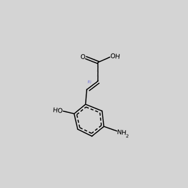 Nc1ccc(O)c(/C=C/C(=O)O)c1